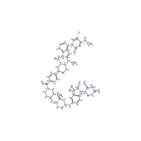 CNc1cc(=O)n(-c2ccnc3c2cc([C@H](C)N2CCC(c4ccc(C(=O)N5CCC(CN6CCN(Cc7ccc8c(c7)C7(CC7)C(=O)N8[C@@H]7CCC(=O)NC7=O)C[C@@H]6C)CC5)cc4)CC2)n3C)cc1F